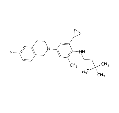 Cc1cc(N2CCc3cc(F)ccc3C2)cc(C2CC2)c1NCCC(C)(C)C